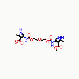 COC(=O)c1c(NC(=O)OCCOCCOC(=O)Nc2c[nH]c(C)c2C(=O)OC)c[nH]c1C